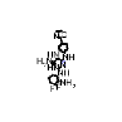 N=C(/N=C(/Nc1ccc(-c2ncco2)cc1)C(=N)C(N)=O)N[C@@H]1CCCC(F)(F)[C@@H]1N